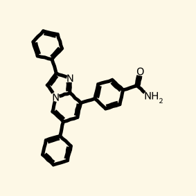 NC(=O)c1ccc(-c2cc(-c3ccccc3)cn3cc(-c4ccccc4)nc23)cc1